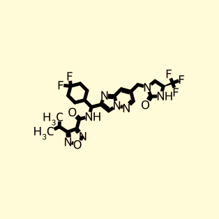 CC(C)c1nonc1C(=O)NC(c1cn2ncc(CN3C[C@@H](C(F)(F)F)NC3=O)cc2n1)C1CCC(F)(F)CC1